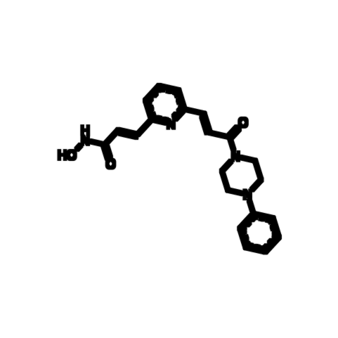 O=C(C=Cc1cccc(C=CC(=O)N2CCN(c3ccccc3)CC2)n1)NO